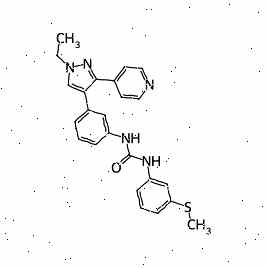 CCn1cc(-c2cccc(NC(=O)Nc3cccc(SC)c3)c2)c(-c2ccncc2)n1